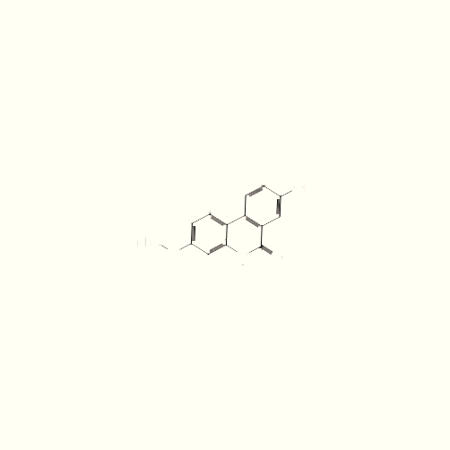 CCCCOc1ccc2c(c1)oc(=O)c1cc(O)ccc12